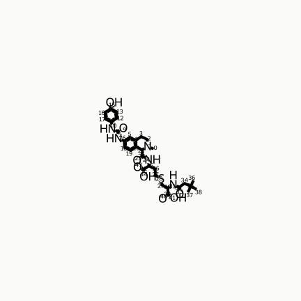 CN1CCc2cc(NC(=O)Nc3ccc(O)cc3)ccc2C1C(=O)NC(CCSCC(NC(=O)CC(C)(C)C)C(=O)O)C(=O)O